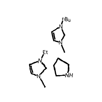 C1CCNC1.CCCCN1C=CN(C)C1.CCN1C=CN(C)C1